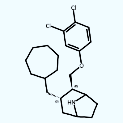 Clc1ccc(OC[C@H]2C3CCC(C[C@@H]2CC2CCCCCC2)N3)cc1Cl